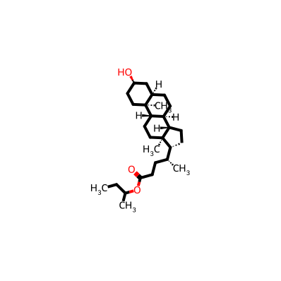 CCC(C)OC(=O)CC[C@@H](C)[C@H]1CC[C@H]2[C@@H]3CC[C@@H]4C[C@H](O)CC[C@]4(C)[C@H]3CC[C@]12C